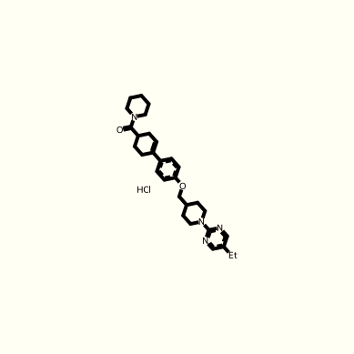 CCc1cnc(N2CCC(COc3ccc(C4=CCC(C(=O)N5CCCCC5)CC4)cc3)CC2)nc1.Cl